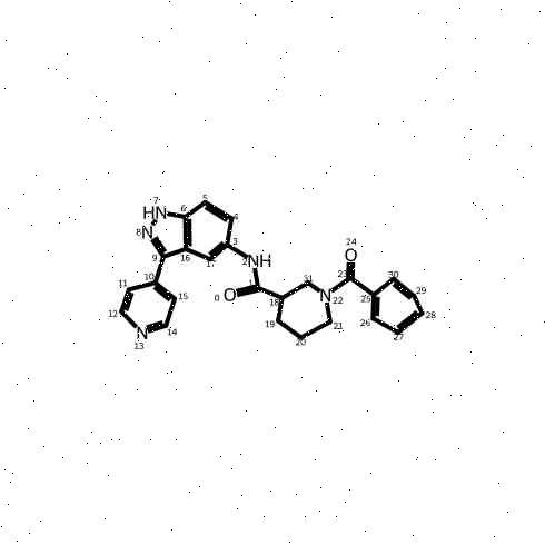 O=C(Nc1ccc2[nH]nc(-c3ccncc3)c2c1)C1CCCN(C(=O)c2ccccc2)C1